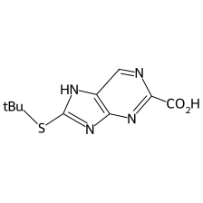 CC(C)(C)Sc1nc2nc(C(=O)O)ncc2[nH]1